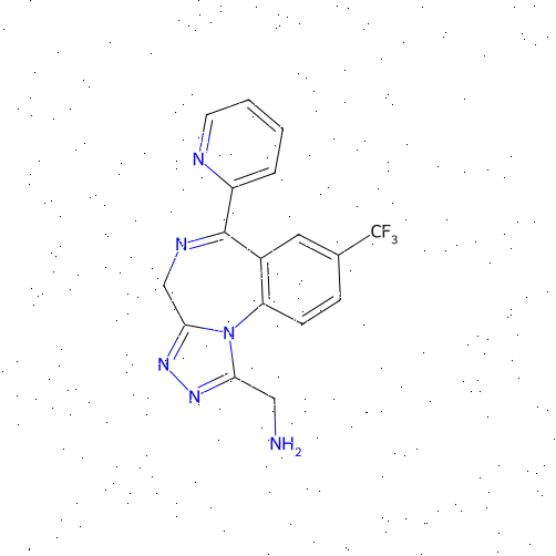 NCc1nnc2n1-c1ccc(C(F)(F)F)cc1C(c1ccccn1)=NC2